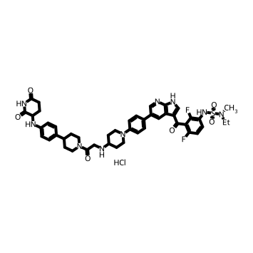 CCN(C)S(=O)(=O)Nc1ccc(F)c(C(=O)c2c[nH]c3ncc(-c4ccc(N5CCC(NCC(=O)N6CCC(c7ccc(NC8CCC(=O)NC8=O)cc7)CC6)CC5)cc4)cc23)c1F.Cl